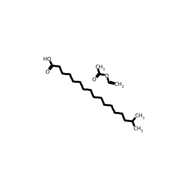 C=COC(C)=O.CC(C)CCCCCCCCCCCCCCC(=O)O